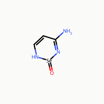 NC1=N[Se](=O)NC=C1